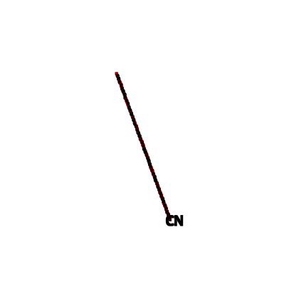 CC#CC#CC#CC#CC#CC#CC#CC#CC#CC#CC#CC#CC#CC#CC#CC#CC#CC#CC#CC#CC#CC#CC#CC#CC#CC#CC#CC#CC#CC#CC#CC#CC#CC#CC#CC#CC#CC#CC#CC#CC#CC#CC#CC#CC#CC#CC#N